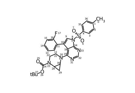 Cc1ccc(S(=O)(=O)n2cc(-c3ccccc3F)c3c(N4CCN(C(=O)OC(C)(C)C)C5CC54)ncnc32)cc1